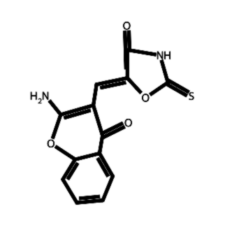 Nc1oc2ccccc2c(=O)c1C=C1OC(=S)NC1=O